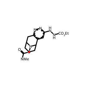 CCOC(=O)NNc1cc2c(nn1)CC1CCCC2N1OC(=O)NC